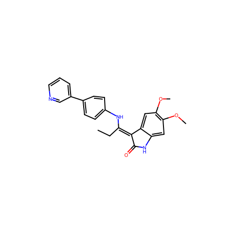 CCC(Nc1ccc(-c2cccnc2)cc1)=C1C(=O)Nc2cc(OC)c(OC)cc21